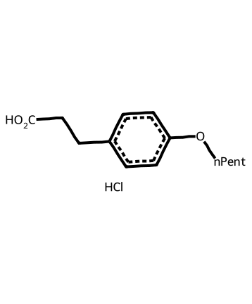 CCCCCOc1ccc(CCC(=O)O)cc1.Cl